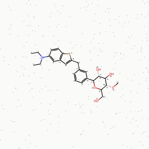 CCN(CC)c1ccc2sc(Cc3cccc(C4OC(CO)[C@@H](OC)C(O)[C@H]4O)c3)cc2c1